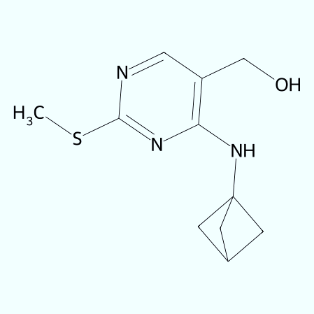 CSc1ncc(CO)c(NC23CC(C2)C3)n1